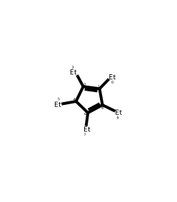 CCC1=C(CC)C(CC)C(CC)=C1CC